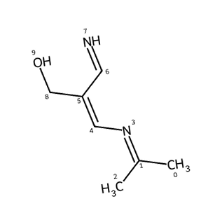 CC(C)=N/C=C(\C=N)CO